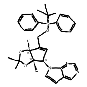 CC1(C)O[C@@H]2[C@H](O1)C(CO[Si](c1ccccc1)(c1ccccc1)C(C)(C)C)=C[C@H]2n1ccc2cncnc21